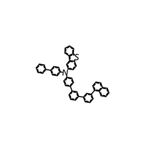 c1ccc(-c2ccc(N(c3ccc(-c4cccc(-c5cccc(-c6cccc7ccccc67)c5)c4)cc3)c3ccc4sc5ccccc5c4c3)cc2)cc1